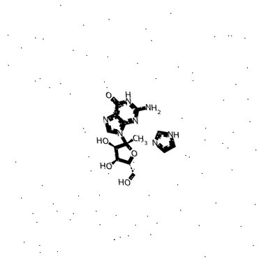 C[C@@]1(n2cnc3c(=O)[nH]c(N)nc32)O[C@H](CO)[C@@H](O)[C@H]1O.c1c[nH]cn1